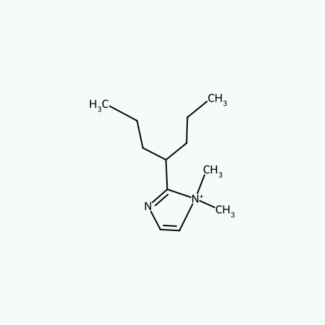 CCCC(CCC)C1=NC=C[N+]1(C)C